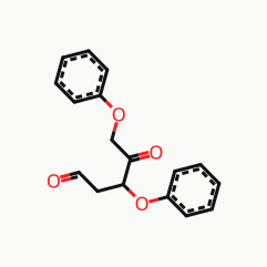 O=CCC(Oc1ccccc1)C(=O)COc1ccccc1